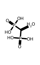 C=C(P(=O)(O)O)P(=O)(O)O.O